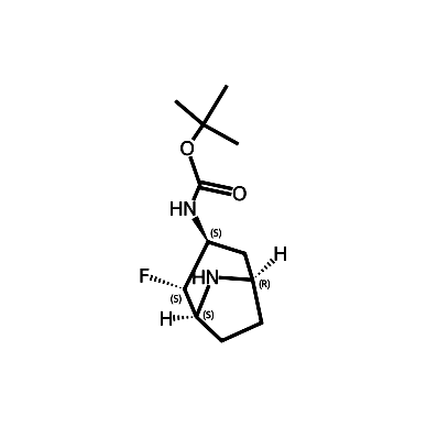 CC(C)(C)OC(=O)N[C@H]1C[C@H]2CC[C@H](N2)[C@@H]1F